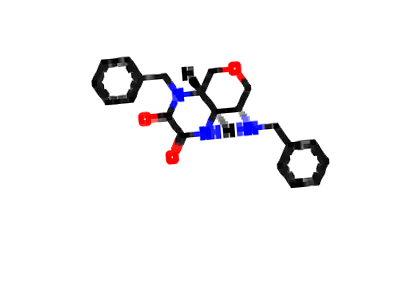 O=C1N[C@@H]2[C@@H](NCc3ccccc3)COC[C@H]2N(Cc2ccccc2)C1=O